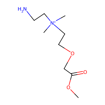 COC(=O)COCC[N+](C)(C)CCN